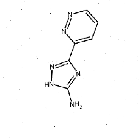 Nc1nc(-c2cccnn2)n[nH]1